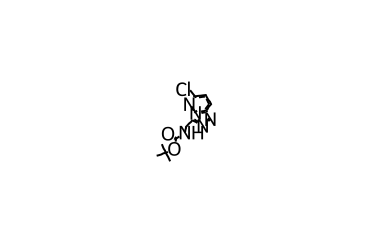 CC(C)(C)OC(=O)NCc1nnc2ccc(Cl)nn12